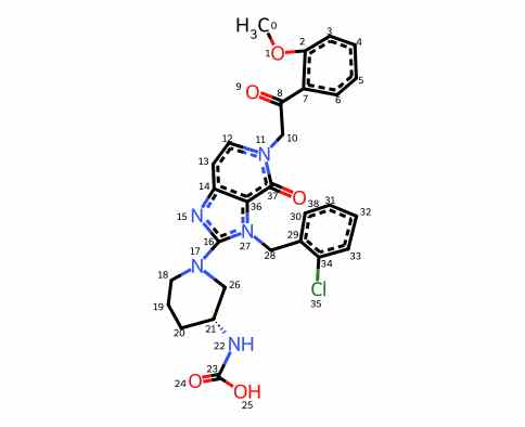 COc1ccccc1C(=O)Cn1ccc2nc(N3CCC[C@@H](NC(=O)O)C3)n(Cc3ccccc3Cl)c2c1=O